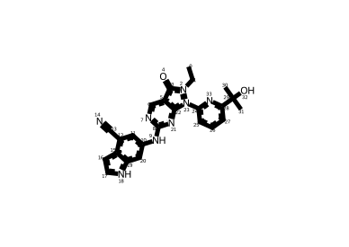 CCn1c(=O)c2cnc(Nc3cc(C#N)c4cc[nH]c4c3)nc2n1-c1cccc(C(C)(C)O)n1